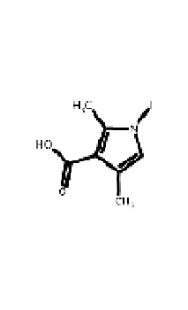 Cc1cn(I)c(C)c1C(=O)O